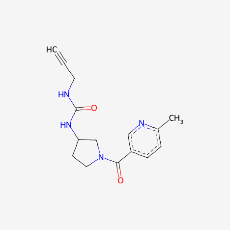 C#CCNC(=O)NC1CCN(C(=O)c2ccc(C)nc2)C1